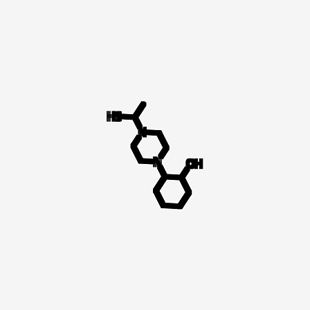 CC(S)N1CCN(C2CCCCC2O)CC1